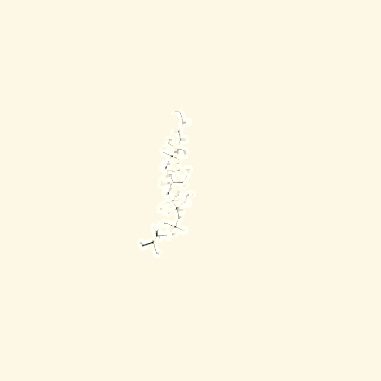 C=C(C)C(=O)OC(C)(C)CC(C)(CC)[Si](C)(C)OC(CC)[Si](C)(C)OC(C)(C)[Si](C)(C)CCCC